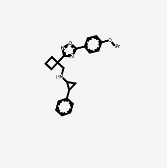 CC(C)Oc1ccc(-c2nc(C3(CNC4CC4c4ccccc4)CCC3)no2)cc1